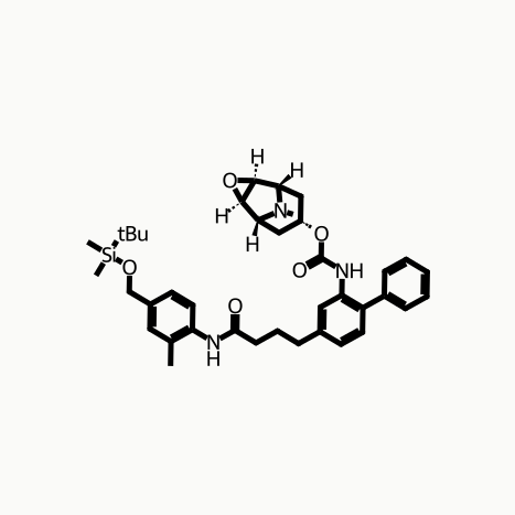 Cc1cc(CO[Si](C)(C)C(C)(C)C)ccc1NC(=O)CCCc1ccc(-c2ccccc2)c(NC(=O)O[C@@H]2C[C@@H]3[C@H]4O[C@H]4[C@H](C2)N3C)c1